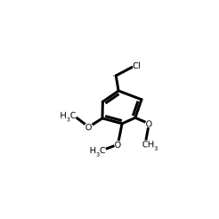 COc1cc([CH]Cl)cc(OC)c1OC